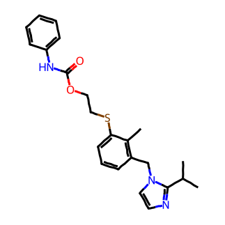 Cc1c(Cn2ccnc2C(C)C)cccc1SCCOC(=O)Nc1ccccc1